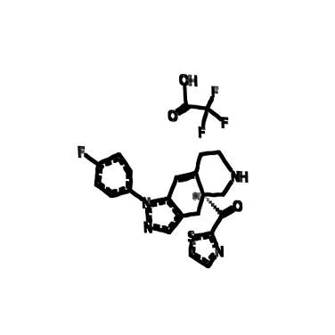 O=C(O)C(F)(F)F.O=C(c1nccs1)[C@@]12CNCCC1=Cc1c(cnn1-c1ccc(F)cc1)C2